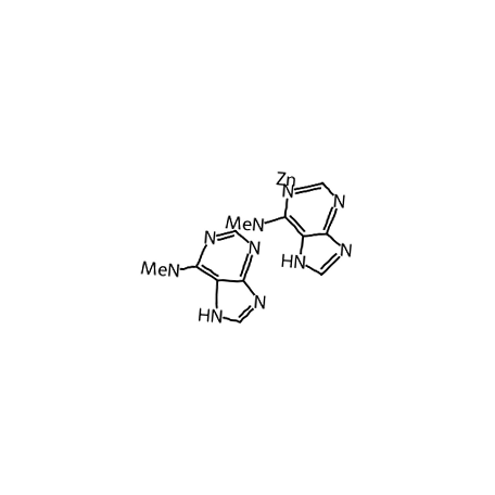 CNc1ncnc2nc[nH]c12.CNc1ncnc2nc[nH]c12.[Zn]